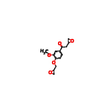 COc1cc(C(=O)CC2CO2)ccc1OCC1CO1